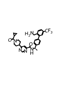 C[C@@H](NC(=O)c1cc(C2CCN(C(=O)C3CC3)CC2)ncn1)c1ccc(-c2cc(C(F)(F)F)ccc2CN)cc1